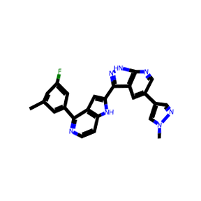 Cc1cc(F)cc(-c2nccc3[nH]c(-c4n[nH]c5ncc(-c6cnn(C)c6)cc45)cc23)c1